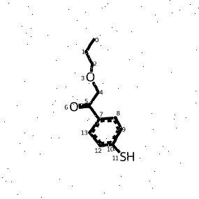 CCCOCC(=O)c1ccc(S)cc1